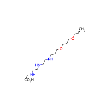 C=CCOCCCOCCCNCCNCCNCC(=O)O